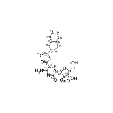 CO[C@@H]1[C@@H](O)[C@@H](CO)O[C@H]1n1cc(C(=O)NC(C)c2ccc3ccccc3c2)c(N)nc1=O